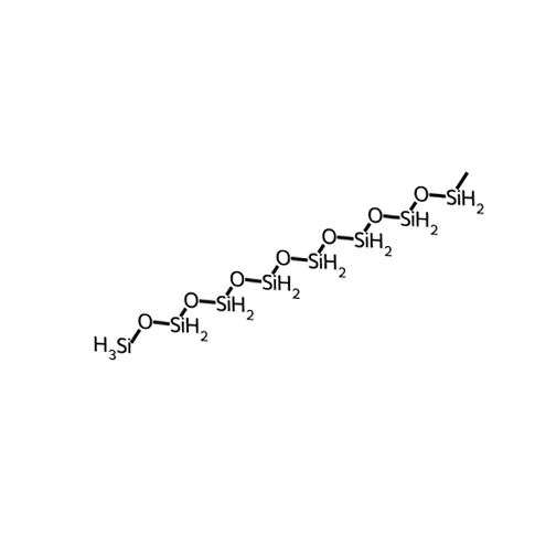 C[SiH2]O[SiH2]O[SiH2]O[SiH2]O[SiH2]O[SiH2]O[SiH2]O[SiH3]